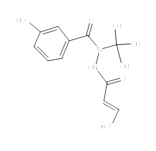 CC=CC(=O)NN(C(=O)c1cccc(C)c1)C(C)(C)C